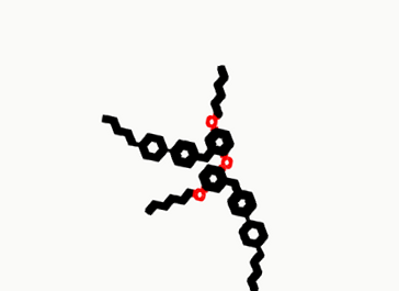 CCCCCCOc1ccc(Oc2ccc(OCCCCCC)cc2Cc2ccc([C@H]3CC[C@H](CCCCC)CC3)cc2)c(Cc2ccc([C@H]3CC[C@H](CCCCC)CC3)cc2)c1